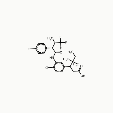 CCC(C)(C)C(CC(=O)O)c1ccc(Cl)c(NC(=O)[C@H](c2ccc(Cl)cc2)[C@@H](C)C(F)(F)F)c1